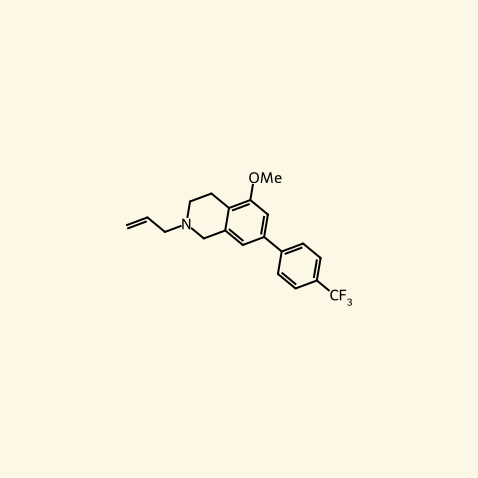 C=CCN1CCc2c(cc(-c3ccc(C(F)(F)F)cc3)cc2OC)C1